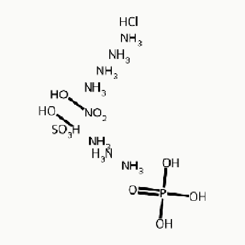 Cl.N.N.N.N.N.N.N.O=P(O)(O)O.O=S(=O)(O)O.O=[N+]([O-])O